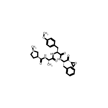 COc1ccc(C[C@H](NC(=O)[C@H](C)NC(=O)[C@H]2CCN(C)C2)C(=O)N[C@@H](Cc2ccccc2)C(=O)[C@H]2CO2)cc1